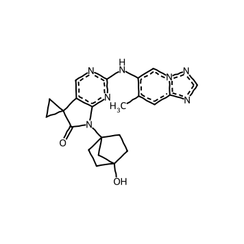 Cc1cc2ncnn2cc1Nc1ncc2c(n1)N(C13CCC(O)(CC1)C3)C(=O)C21CC1